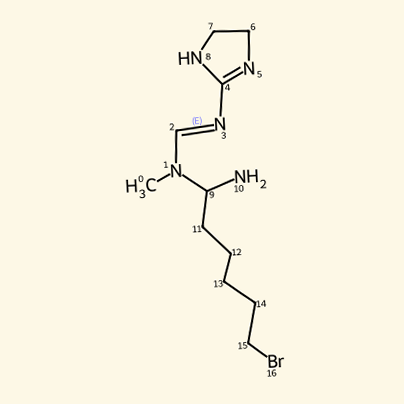 CN(/C=N/C1=NCCN1)C(N)CCCCCBr